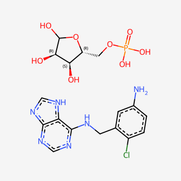 Nc1ccc(Cl)c(CNc2ncnc3nc[nH]c23)c1.O=P(O)(O)OC[C@H]1OC(O)[C@H](O)[C@@H]1O